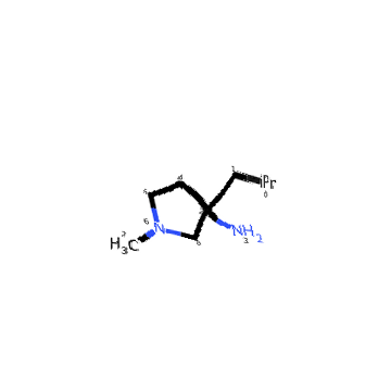 CC(C)CC1(N)CCN(C)C1